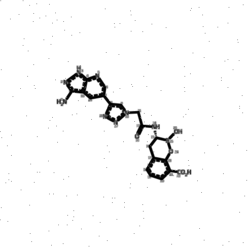 Nc1n[nH]c2ncc(-c3cn(CC(=O)N[C@H]4Cc5cccc(C(=O)O)c5OB4O)nn3)cc12